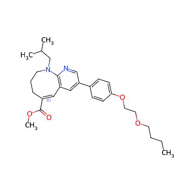 CCCCOCCOc1ccc(-c2cnc3c(c2)/C=C(/C(=O)OC)CCCN3CC(C)C)cc1